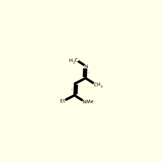 CC/C(=C/C(C)=N\C)NC